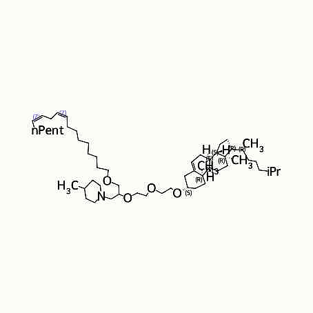 CCCCC/C=C\C/C=C\CCCCCCCCOCC(CN1CCC(C)CC1)OCCOCCO[C@H]1CC[C@@]2(C)C(=CC[C@H]3[C@@H]4CC[C@H]([C@H](C)CCCC(C)C)[C@@]4(C)CC[C@@H]32)C1